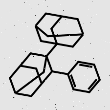 c1ccc(C2C3CC4CC(C3)CC2(C23CC5CC(CC(C5)C2)C3)C4)cc1